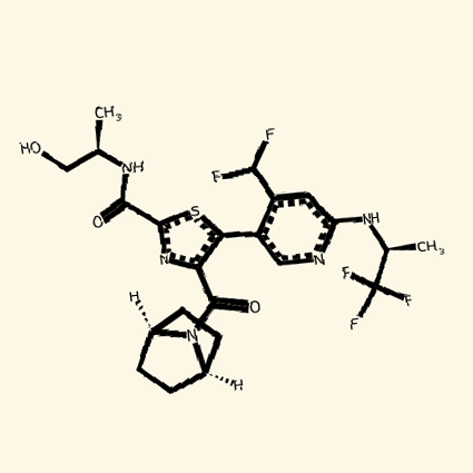 C[C@H](CO)NC(=O)c1nc(C(=O)N2[C@H]3CC[C@@H]2CC3)c(-c2cnc(N[C@@H](C)C(F)(F)F)cc2C(F)F)s1